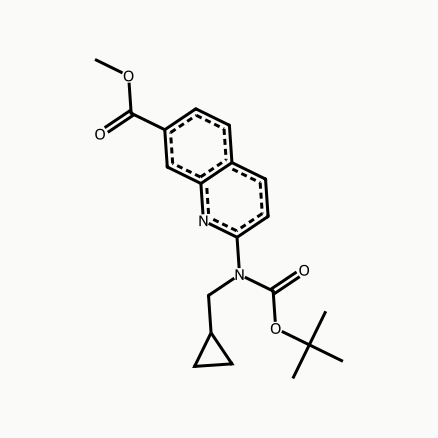 COC(=O)c1ccc2ccc(N(CC3CC3)C(=O)OC(C)(C)C)nc2c1